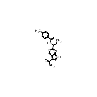 CCC(NC(=O)c1ccc(C)cc1)c1ncc2c(C(N)=O)c[nH]c2n1